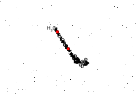 CCCOCCOCCOCCOCCOCCOCCC(=O)Oc1ccc(C(=O)ON2C(=O)CCC2=O)cc1